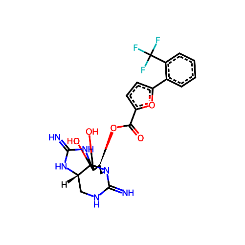 N=C1N[C@H]2CNC(=N)N3C[C@H](OC(=O)c4ccc(-c5ccccc5C(F)(F)F)o4)C(O)(O)C23N1